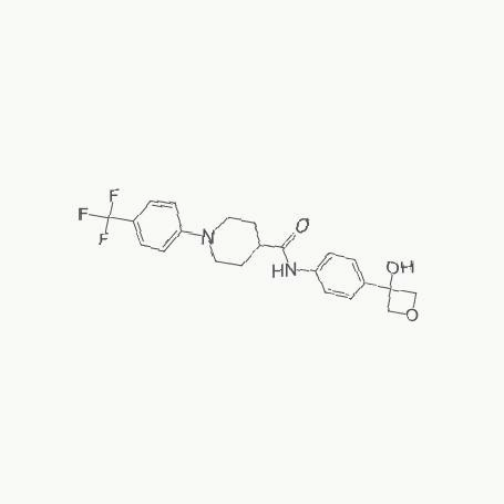 O=C(Nc1ccc(C2(O)COC2)cc1)C1CCN(c2ccc(C(F)(F)F)cc2)CC1